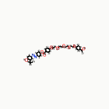 COc1ccc(N=Nc2ccc(OC(=O)c3ccc(OCCOCCOCCOCCOc4ccc(C(C)=O)cc4)cc3)cc2)cc1C(C)(C)C